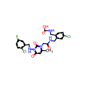 Cc1cc(=O)n(NCc2cc(F)ccc2Cl)c(=O)n1CC(=O)NCc1cc(Cl)ccc1CNC(=O)O